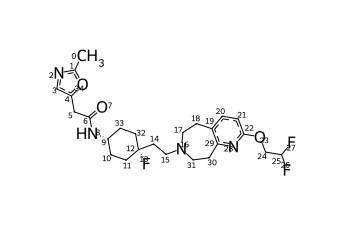 Cc1ncc(CC(=O)N[C@H]2CC[C@](F)(CCN3CCc4ccc(OCC(F)F)nc4CC3)CC2)o1